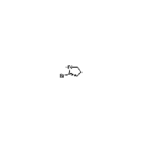 BrC1=C[C]CN1